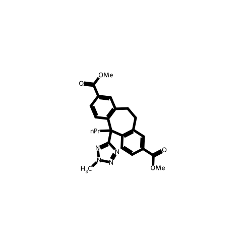 CCCC1(c2nnn(C)n2)c2ccc(C(=O)OC)cc2CCc2cc(C(=O)OC)ccc21